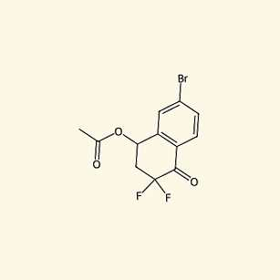 CC(=O)OC1CC(F)(F)C(=O)c2ccc(Br)cc21